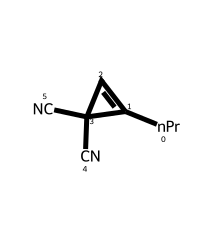 CCCC1=CC1(C#N)C#N